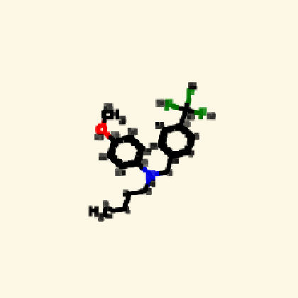 CCCCN(Cc1ccc(C(F)(F)F)cc1)c1ccc(OC)cc1